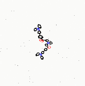 Cc1cccc(C)c1N(c1cccc(C(=O)c2ccc(-c3ccc(N(c4ccccc4)c4ccccc4)cc3)cc2)c1)c1cccc(C(=O)c2ccc(-c3ccc(N(c4ccccc4)c4ccccc4)cc3)cc2)c1